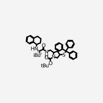 CC[C@H](C)[C@H](NC1CCCc2ccccc21)C(=O)NCC1CC(SC(c2ccccc2)(c2ccccc2)c2ccccc2)CN1C(=O)OC(C)(C)C